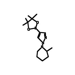 CC1CCCCN1n1cc(B2OC(C)(C)C(C)(C)O2)cn1